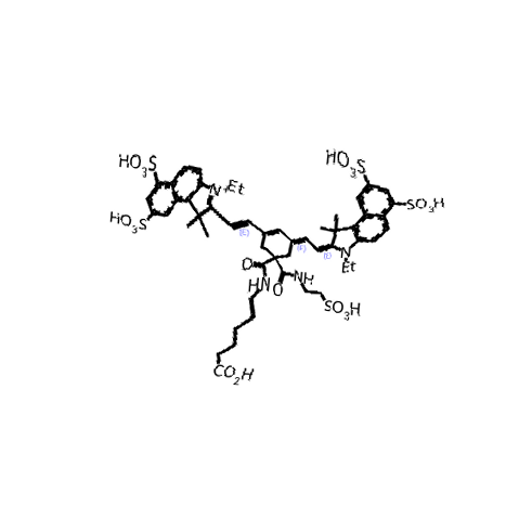 CCN1/C(=C/C=C2C=C(/C=C/C3=[N+](CC)c4ccc5c(S(=O)(=O)O)cc(S(=O)(=O)O)cc5c4C3(C)C)CC(C(=O)NCCCCCC(=O)O)(C(=O)NCCS(=O)(=O)O)C/2)C(C)(C)c2c1ccc1c(S(=O)(=O)O)cc(S(=O)(=O)O)cc21